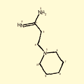 N=C(N)CCN1CCCCC1